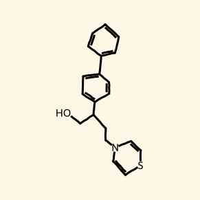 OCC(CCN1C=CSC=C1)c1ccc(-c2ccccc2)cc1